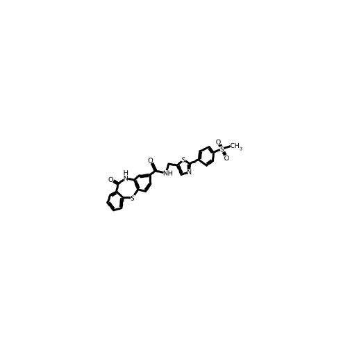 CS(=O)(=O)c1ccc(-c2ncc(CNC(=O)c3ccc4c(c3)NC(=O)c3ccccc3S4)s2)cc1